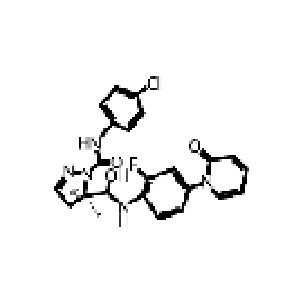 C[C@]1(C(O)Nc2ccc(-n3ccccc3=O)cc2F)CC=NN1C(=O)Nc1ccc(Cl)cc1